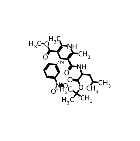 COC(=O)C1=C(C)NC(C)=C(C(=O)NC(CC(C)C)C(=O)OC(C)(C)C)[C@@H]1c1cccc([N+](=O)[O-])c1